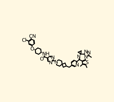 Cc1sc2c(c1C)C(c1ccc(CC3CC4(CCN(c5ncc(C(=O)N[C@H]6CC[C@H](Oc7ccc(C#N)c(Cl)c7)CC6)cn5)CC4)C3)cn1)=NC1(CC1)c1nnc(C)n1-2